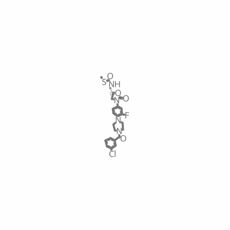 CSC(=O)NC[C@H]1CN(c2ccc(N3CCN(C(=O)c4cccc(Cl)c4)CC3)c(F)c2)C(=O)O1